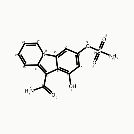 NC(=O)c1c2c(O)cc(OS(N)(=O)=O)cc2n2ccccc12